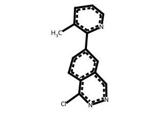 Cc1cccnc1-c1ccc2c(Cl)nncc2c1